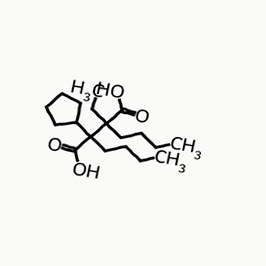 CCCCC(CC)(C(=O)O)C(CCCC)(C(=O)O)C1CCCC1